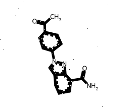 CC(=O)c1ccc(-n2cc3cccc(C(N)=O)c3n2)cc1